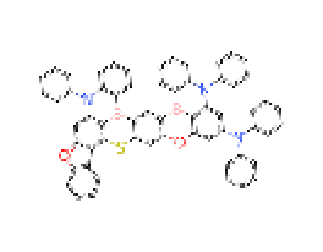 c1ccc(N(c2ccccc2)c2cc3c4c(c2)N(c2ccccc2)c2ccccc2B4c2cc4c(cc2O3)Sc2c3c(cc5oc6ccccc6c25)N(c2ccccc2)c2ccccc2B43)cc1